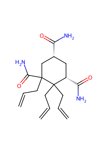 C=CCC1(C(N)=O)C[C@H](C(N)=O)C[C@H](C(N)=O)C1(CC=C)CC=C